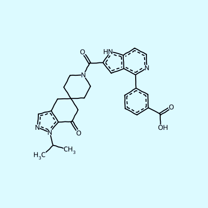 CC(C)n1ncc2c1C(=O)CC1(CCN(C(=O)c3cc4c(-c5cccc(C(=O)O)c5)nccc4[nH]3)CC1)C2